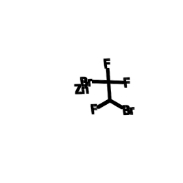 FC(Br)C(F)(F)Br.[Zn]